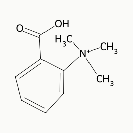 C[N+](C)(C)c1ccccc1C(=O)O